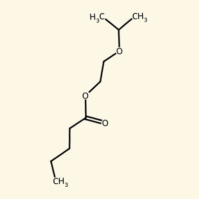 CCCCC(=O)OCCOC(C)C